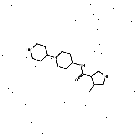 CC1CNCC1C(=O)NC1CCN(C2CCNCC2)CC1